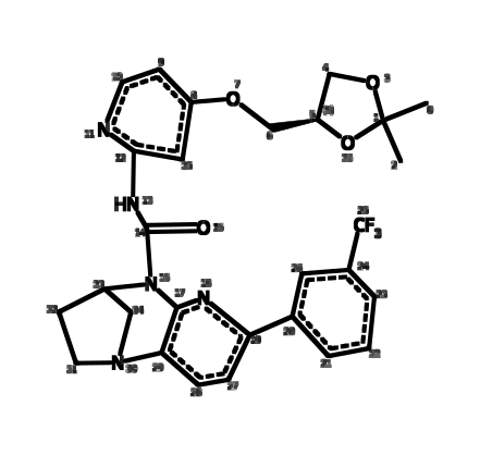 CC1(C)OC[C@H](COc2ccnc(NC(=O)N3c4nc(-c5cccc(C(F)(F)F)c5)ccc4N4CCC3C4)c2)O1